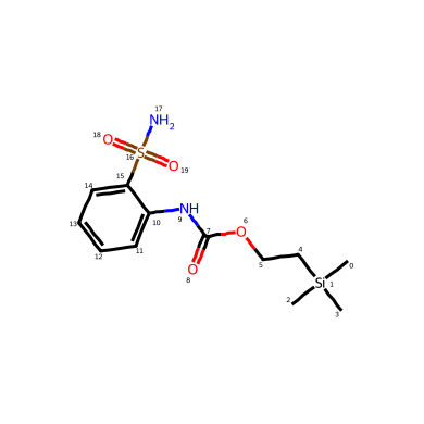 C[Si](C)(C)CCOC(=O)Nc1ccccc1S(N)(=O)=O